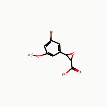 COc1cc(Br)cc(C2OC2C(=O)O)c1